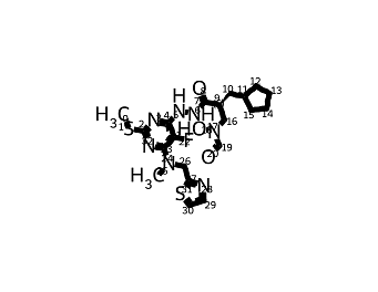 CSc1nc(NNC(=O)[C@@H](CC2CCCC2)CN(O)C=O)c(F)c(N(C)Cc2nccs2)n1